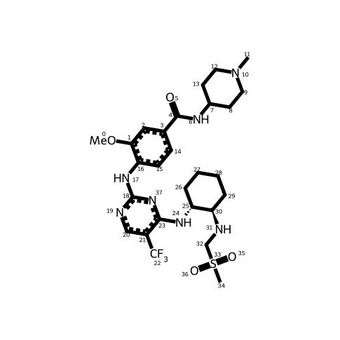 COc1cc(C(=O)NC2CCN(C)CC2)ccc1Nc1ncc(C(F)(F)F)c(N[C@@H]2CCCC[C@H]2NCS(C)(=O)=O)n1